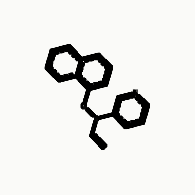 C=CB(Oc1cccc2ccccc12)c1cccnc1